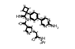 CC(C)NC(=O)Cn1cc(C(=O)NC(=N)C2(c3ccc(-c4cnc(N)nc4)cc3)CCC2)cn1